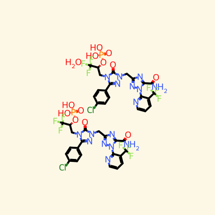 NC(=O)c1nc(Cn2nc(-c3ccc(Cl)cc3)n(CC(OP(=O)(O)O)C(F)(F)F)c2=O)nn1-c1ncccc1C(F)(F)F.NC(=O)c1nc(Cn2nc(-c3ccc(Cl)cc3)n(CC(OP(=O)(O)O)C(F)(F)F)c2=O)nn1-c1ncccc1C(F)(F)F.O